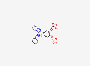 O=C(O)COc1ccc(-c2nc3ccccn3c2NCc2ccccc2)cc1OCC(=O)O